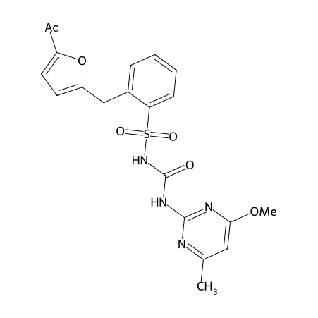 COc1cc(C)nc(NC(=O)NS(=O)(=O)c2ccccc2Cc2ccc(C(C)=O)o2)n1